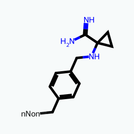 CCCCCCCCCCc1ccc(CNC2(C(=N)N)CC2)cc1